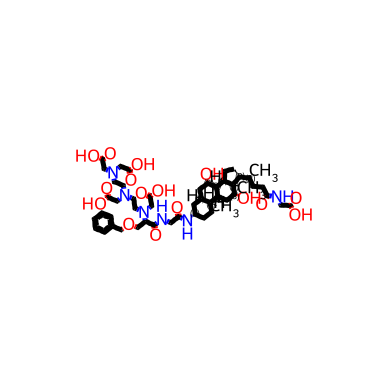 C[C@H](CCC(=O)NCC(=O)O)[C@H]1CC[C@H]2[C@@H]3[C@H](O)C[C@@H]4C[C@@H](NC(=O)CNC(=O)C(COCc5ccccc5)N(CCN(CCN(CC(=O)O)CC(=O)O)CC(=O)O)CC(=O)O)CC[C@]4(C)[C@H]3C[C@H](O)[C@]12C